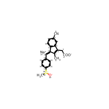 CC1=C(CC(=O)[O-])c2cc(C#N)ccc2/C1=C/c1ccc([S+](C)[O-])cc1.[Na+]